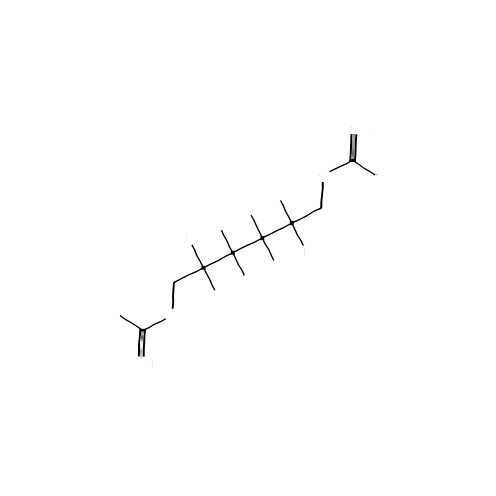 C=C(F)OCC(F)(F)C(F)(F)C(F)(F)C(F)(F)COC(=C)F